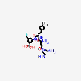 NCCN(CCN)C(=O)CC[C@H](N)C(=O)N[C@H](CCc1ccc(C(F)(F)F)cc1)C(=O)Nc1cc(CF)cc(B(O)O)c1